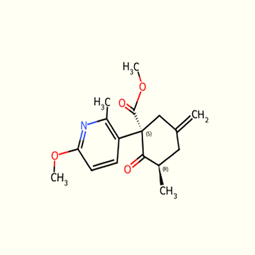 C=C1C[C@@H](C)C(=O)[C@@](C(=O)OC)(c2ccc(OC)nc2C)C1